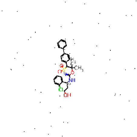 CC1(C)OC(N[C@@H](CCO)c2ccccc2Cl)=NS(=O)(=O)C1c1ccc(-c2ccccc2)cc1